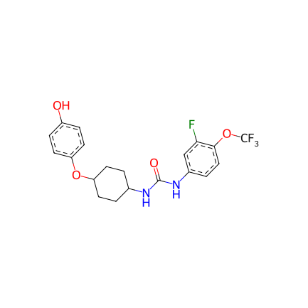 O=C(Nc1ccc(OC(F)(F)F)c(F)c1)NC1CCC(Oc2ccc(O)cc2)CC1